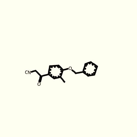 [C-]#[N+]CC(=O)c1ccc(OCc2ccccc2)c(C)c1